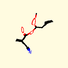 C=C(C#N)C(=O)OC(CCC)OC